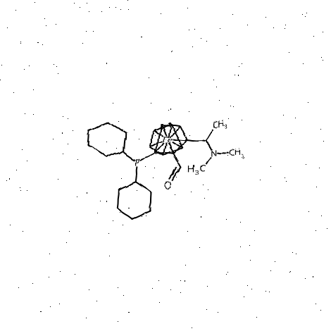 CC(N(C)C)[C]12[CH]3[CH]4[C]5(P(C6CCCCC6)C6CCCCC6)[C]1(C=O)[Fe]34251678[CH]2[CH]1[CH]6[CH]7[CH]28